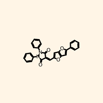 O=C1C(=Cc2cc3oc(-c4ccccc4)cc3o2)C(=O)N(c2ccccc2)N1c1ccccc1